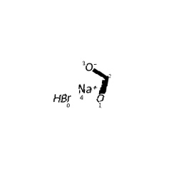 Br.O=C[O-].[Na+]